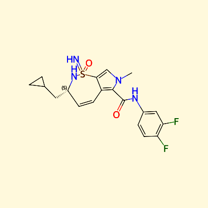 Cn1cc2c(c1C(=O)Nc1ccc(F)c(F)c1)C=C[C@H](CC1CC1)NS2(=N)=O